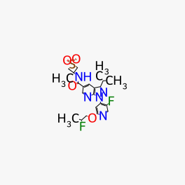 CC(F)COc1cc(-n2nc(C(C)C)c3cc(C(=O)NC4(C)CS(=O)(=O)C4)cnc32)c(F)cn1